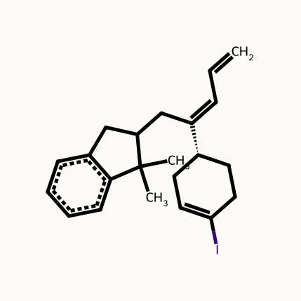 C=C/C=C(\CC1Cc2ccccc2C1(C)C)[C@H]1CC=C(I)CC1